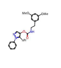 CCCc1c(OC(=O)NCCc2cc(OC)cc(OC)c2)cnn1-c1ccccc1